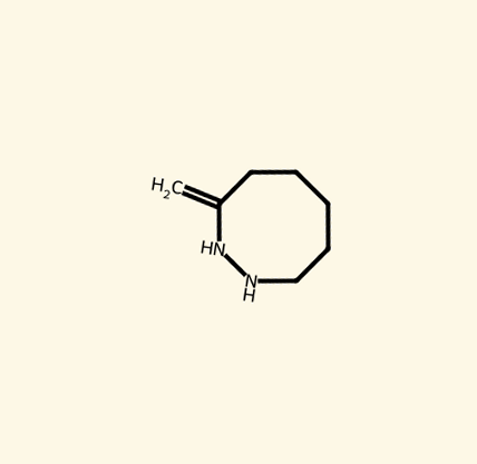 C=C1CCCCCNN1